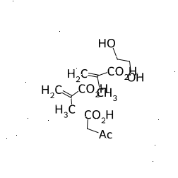 C=C(C)C(=O)O.C=C(C)C(=O)O.CC(=O)CC(=O)O.OCCO